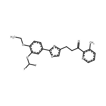 CCOc1ccc(-c2nc(CCC(=O)c3ncccc3C)co2)cc1OC(F)F